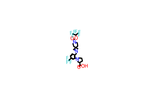 O=C(O)C1CCCN(c2cc(C(F)(F)F)ccc2CN2CC3(CCN(C(=O)OC(C(F)(F)F)C(F)(F)F)CC3)C2)C1